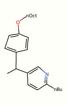 CCCCCCCCOc1ccc(C(C)c2ccc(CCCC)nc2)cc1